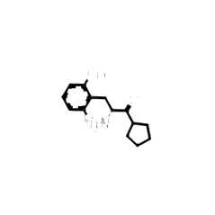 Cc1cccc(C)c1C[C@H](N)C(=O)C1CCCC1